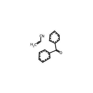 C=CC#N.O=C(c1ccccc1)c1ccccc1